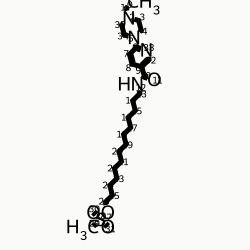 CCN1CCN(c2ccc(C(=O)NCCCCCCCCCCCCCCOS(C)(=O)=O)cn2)CC1